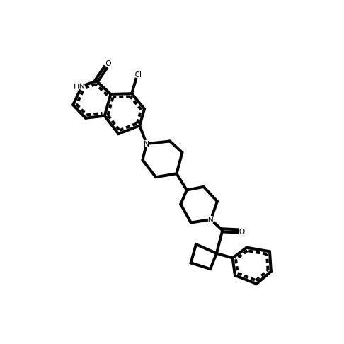 O=C(N1CCC(C2CCN(c3cc(Cl)c4c(=O)[nH]ccc4c3)CC2)CC1)C1(c2ccccc2)CCC1